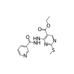 CCOC(=O)c1cnc(SC)nc1NNC(=O)c1cccnc1